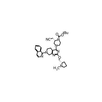 CN1CCC[C@H]1COc1nc2c(c(N3CCN(C(=O)OC(C)(C)C)[C@@H](CC#N)C3)n1)CCN(c1nccc3ccccc13)C2